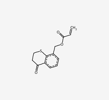 C=CC(=O)OCc1cccc2c1SCCC2=O